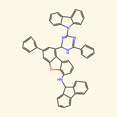 c1ccc(C2=NC(n3c4ccccc4c4ccccc43)=NC(c3cc(-c4ccccc4)cc4oc5c(NC6c7ccccc7-c7ccccc76)cccc5c34)N2)cc1